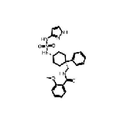 COc1ccccc1C(=O)NC[C@]1(c2ccccc2)CC[C@H](NS(=O)(=O)Nc2cc[nH]n2)CC1